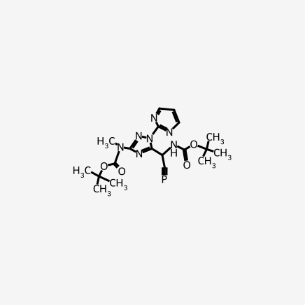 CN(C(=O)OC(C)(C)C)c1nc(C(C#P)NC(=O)OC(C)(C)C)n(-c2ncccn2)n1